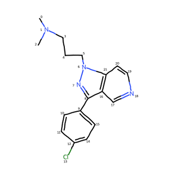 CN(C)CCCn1nc(-c2ccc(Cl)cc2)c2cnccc21